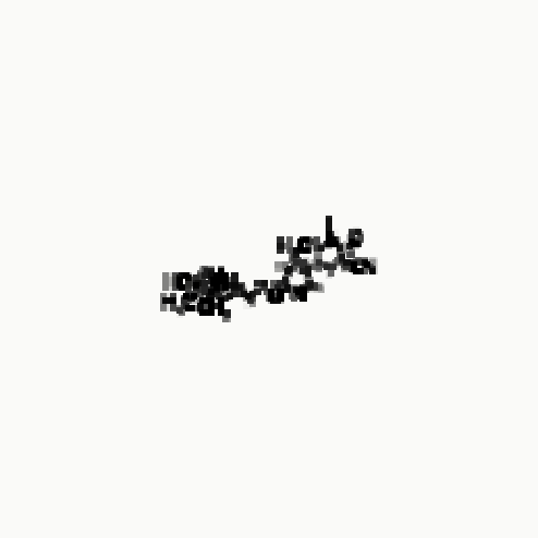 Cc1[nH]c(=O)c(C#N)cc1-c1ccc(OCCCCC(C)(C)[Si](C)(C)O)nc1